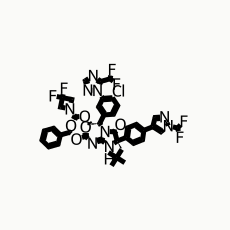 CC(C)(C)C[C@]1(c2ccc(-c3cnn(C(F)F)c3)cc2)N/C(=N/C(=O)OCc2ccccc2)N([C@H](COC(=O)N2CC(F)(F)C2)c2ccc(Cl)c(-n3ncnc3C(F)F)c2)C1=O